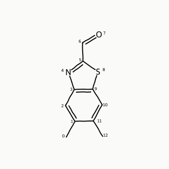 Cc1cc2nc(C=O)sc2cc1C